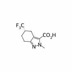 Cn1nc2c(c1C(=O)O)C[C@@H](C(F)(F)F)CC2